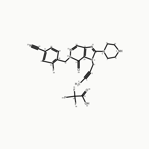 CC#CCn1c(N2CCNCC2)nc2cnn(Cc3ccc(C#N)cc3F)c(=O)c21.O=C(O)C(F)(F)F